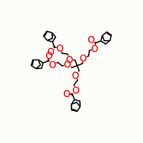 O=C(OCCOCC(COCCOC(=O)C1CC2C=CC1C2)(COCCOC(=O)C1CC2C=CC1C2)COCCOC(=O)C1CC2C=CC1C2)C1CC2C=CC1C2